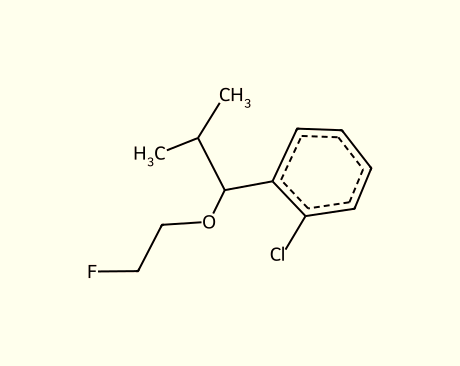 CC(C)C(OCCF)c1ccccc1Cl